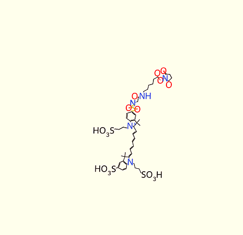 CN(CC(=O)NCCCCCC(=O)ON1C(=O)CCC1=O)S(=O)(=O)c1ccc2c(c1)C(C)(C)C(/C=C/C=C/C=C/C=C1/N(CCCCS(=O)(=O)O)c3ccc(S(=O)(=O)O)cc3C1(C)C)=[N+]2CCCCS(=O)(=O)O